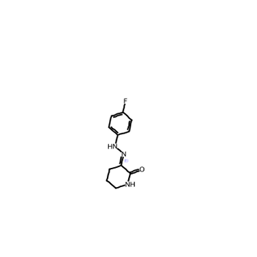 O=C1NCCC/C1=N\Nc1ccc(F)cc1